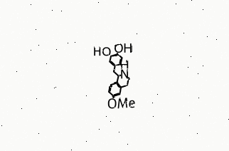 COc1ccc2c(c1)CCNC2Cc1ccc(O)c(O)c1